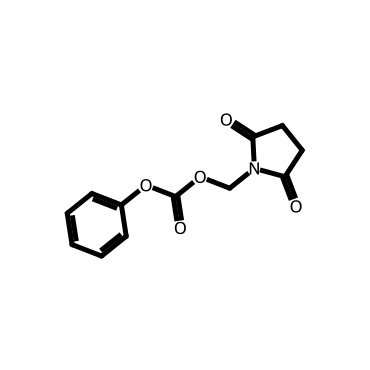 O=C(OCN1C(=O)CCC1=O)Oc1ccccc1